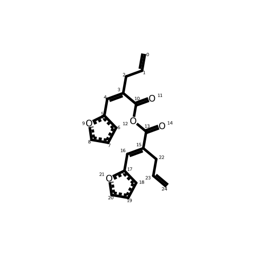 C=CCC(=Cc1ccco1)C(=O)OC(=O)C(=Cc1ccco1)CC=C